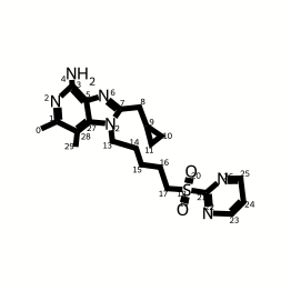 Cc1nc(N)c2nc(CC3CC3)n(CCCCCS(=O)(=O)c3ncccn3)c2c1C